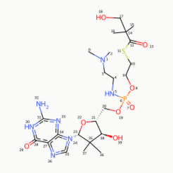 CN(C)CCNP(=O)(OCCSC(=O)C(C)(C)CO)OC[C@H]1O[C@@H](n2cnc3c(=O)[nH]c(N)nc32)C(C)(C)[C@@H]1O